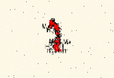 CCCC1CC(C(=O)N[C@H](C(C)Cl)[C@H]2O[C@H](SC)[C@H](OC(=O)CCC(=O)OCOC(=O)N3CCN(c4c(F)cc5c(=O)ccn(C6CC6)c5c4OC)CC3C)[C@@H](O)[C@H]2O)N(C)C1